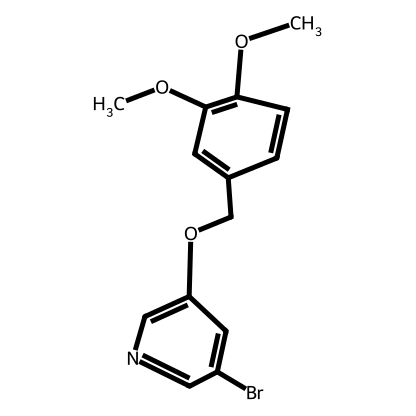 COc1ccc(COc2cncc(Br)c2)cc1OC